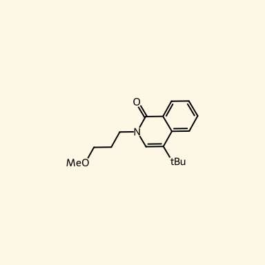 COCCCn1cc(C(C)(C)C)c2ccccc2c1=O